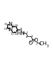 CCOC(=O)CCCNCc1ccn2ccnc2c1